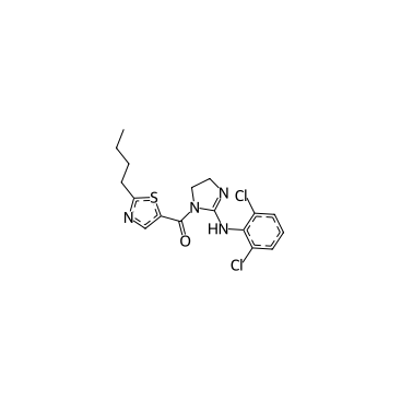 CCCCc1ncc(C(=O)N2CCN=C2Nc2c(Cl)cccc2Cl)s1